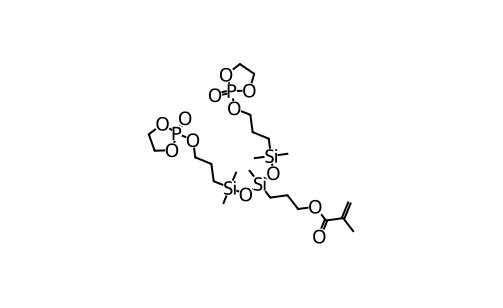 C=C(C)C(=O)OCCC[Si](C)(O[Si](C)(C)CCCOP1(=O)OCCO1)O[Si](C)(C)CCCOP1(=O)OCCO1